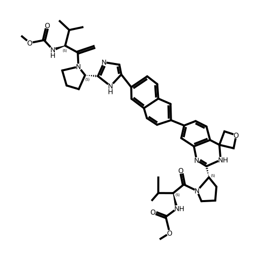 C=C([C@@H](NC(=O)OC)C(C)C)N1CCC[C@H]1c1ncc(-c2ccc3cc(-c4ccc5c(c4)N=C([C@@H]4CCCN4C(=O)[C@@H](NC(=O)OC)C(C)C)NC54COC4)ccc3c2)[nH]1